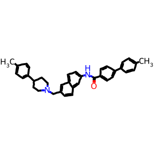 Cc1ccc(-c2ccc(C(=O)Nc3ccc4cc(CN5CCC(c6ccc(C)cc6)CC5)ccc4c3)cc2)cc1